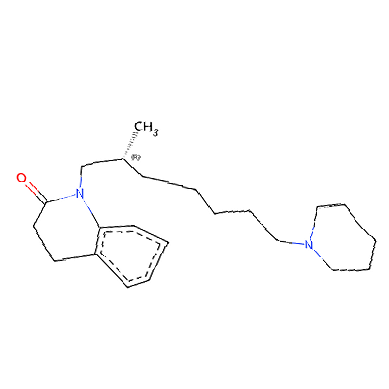 C[C@H](CCCCCN1CCCCC1)CN1C(=O)CCc2ccccc21